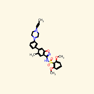 CC#CN1CCN(c2cccc(-c3cc4onc(NS(=O)(=O)c5c(OC)cccc5OC)c4cc3C)c2)CC1